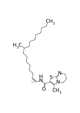 CCCCCCCCC(C)CCCCCC/C=C\NC(=O)C1=C(C)N2CCCN=C2S1